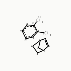 C1=CC2CCC1C2.Cc1ccccc1C